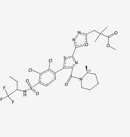 CCC(NS(=O)(=O)c1ccc(-c2sc(-c3nnc(CC(C)(C)C(=O)OC)o3)nc2C(=O)N2CCCC[C@@H]2C)c(Cl)c1Cl)C(F)(F)F